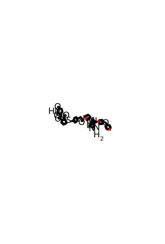 Nc1ncnc2c1c(-c1ccc(Oc3ccccc3)cc1)nn2[C@@H]1CCCN(C(=O)Cc2ccc(CSc3cccc4c3C(=O)N(C3CCC(=O)NC3=O)C4=O)cc2)C1